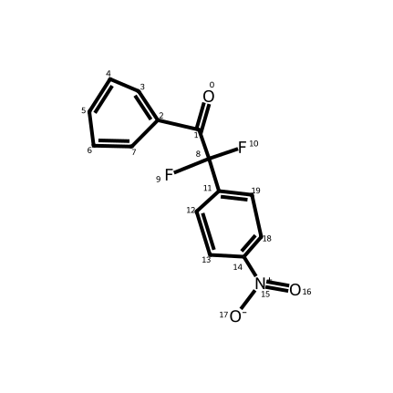 O=C(c1ccccc1)C(F)(F)c1ccc([N+](=O)[O-])cc1